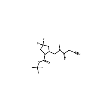 CN(CC1CC(F)(F)CN1C(=O)OC(C)(C)C)C(=O)CC#N